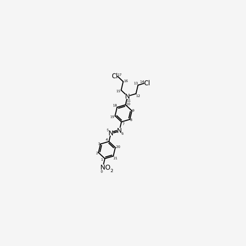 O=[N+]([O-])c1ccc(N=Nc2ccc(N(CCCl)CCCl)cc2)cc1